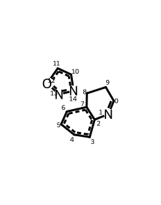 C1=Nc2ccccc2CC1.c1conn1